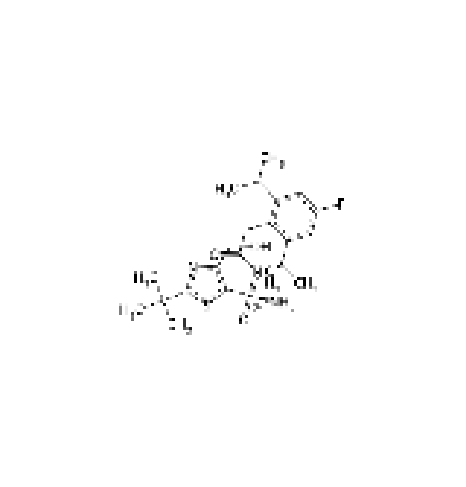 CC(C)c1cc(F)cc(C(C)C)c1CC(=O)N=[S@](N)(=O)c1sc(C(C)(C)C)nc1CO